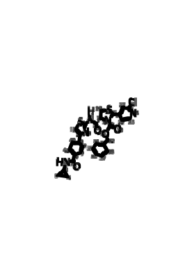 O=C(NC1CC1)c1ccc(-c2csc(NC(=O)[C@@H]3CSC(c4ccnc(Cl)c4)N3C(=O)OCc3ccccc3)n2)cc1